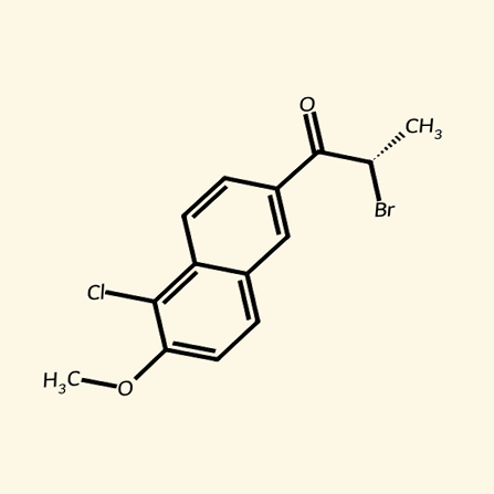 COc1ccc2cc(C(=O)[C@H](C)Br)ccc2c1Cl